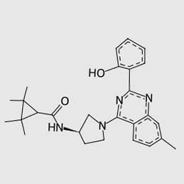 Cc1ccc2c(N3CC[C@@H](NC(=O)C4C(C)(C)C4(C)C)C3)nc(-c3ccccc3O)nc2c1